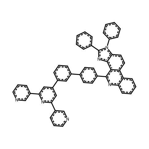 c1ccc(-c2nc3c4c(-c5ccc(-c6cccc(-c7cc(-c8cccnc8)nc(-c8cccnc8)c7)c6)cc5)nc5ccccc5c4ccc3n2-c2ccccc2)cc1